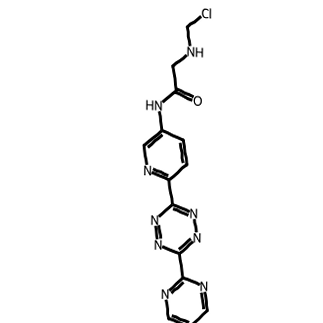 O=C(CNCCl)Nc1ccc(-c2nnc(-c3ncccn3)nn2)nc1